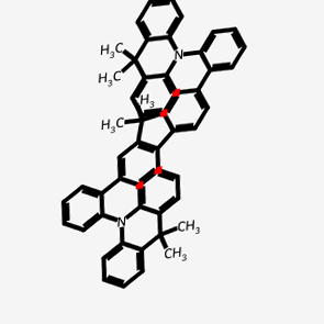 CC1(C)c2cc(-c3ccccc3N3c4ccccc4C(C)(C)c4ccccc43)ccc2-c2ccc(-c3ccccc3N3c4ccccc4C(C)(C)c4ccccc43)cc21